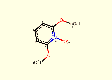 CCCCCCCCOc1cccc(OCCCCCCCC)[n+]1[O-]